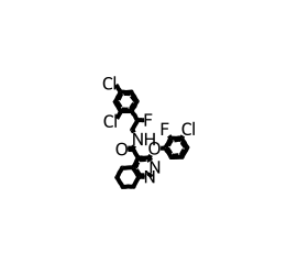 O=C(NCC(F)c1ccc(Cl)cc1Cl)c1c(Oc2cccc(Cl)c2F)nnc2c1CCCC2